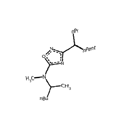 CCCCCC(CCC)c1noc(N(C)C(C)CCCC)n1